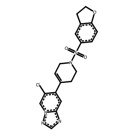 O=S(=O)(c1ccc2c(c1)CCO2)N1CC=C(c2cc3ncnn3cc2Cl)CC1